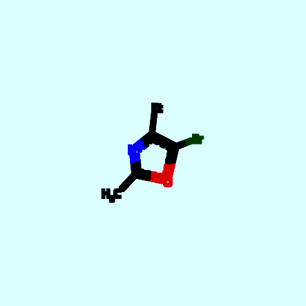 CCc1nc(C)oc1Br